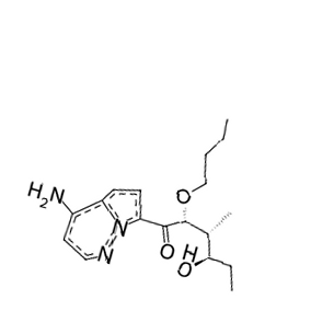 CCCCO[C@@H](C(=O)c1ccc2c(N)ccnn12)[C@H](C)[C@H](O)CC